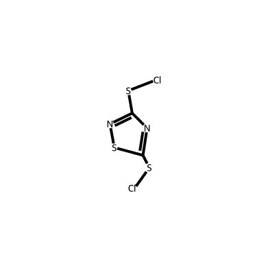 ClSc1nsc(SCl)n1